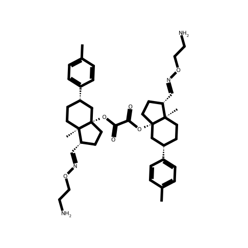 Cc1ccc([C@H]2CC[C@]3(C)[C@@H](C=NOCCN)CC[C@]3(OC(=O)C(=O)O[C@]34CC[C@H](C=NOCCN)[C@@]3(C)CC[C@H](c3ccc(C)cc3)C4)C2)cc1